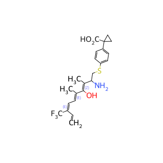 C=C\C(=C/C=C(C)/C(O)=C(\C)C(N)CSc1ccc(C2(C(=O)O)CC2)cc1)C(F)(F)F